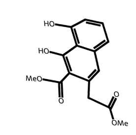 COC(=O)Cc1cc2cccc(O)c2c(O)c1C(=O)OC